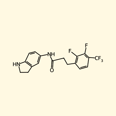 O=C(CCc1ccc(C(F)(F)F)c(F)c1F)Nc1ccc2c(c1)CCN2